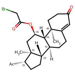 CC(=O)[C@H]1CC[C@H]2[C@@H]3CCC4=CC(=O)CC[C@]4(C)[C@H]3[C@H](OC(=O)CBr)C[C@]12C